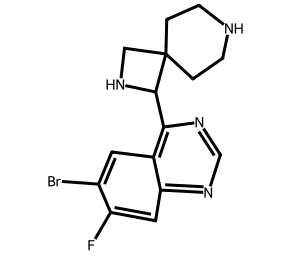 Fc1cc2ncnc(C3NCC34CCNCC4)c2cc1Br